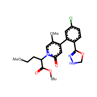 COCCC(C(=O)OC(C)(C)C)n1cc(OC)c(-c2cc(Cl)ccc2C2=NNCO2)cc1=O